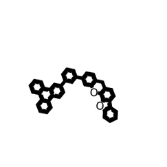 c1cc(-c2ccc3c(c2)Oc2c(ccc4c2oc2ccccc24)C3)cc(-c2ccc3c4ccccc4c4ccccc4c3c2)c1